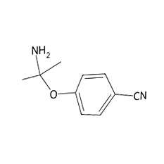 CC(C)(N)Oc1ccc(C#N)cc1